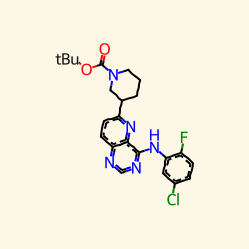 CC(C)(C)OC(=O)N1CCCC(c2ccc3ncnc(Nc4cc(Cl)ccc4F)c3n2)C1